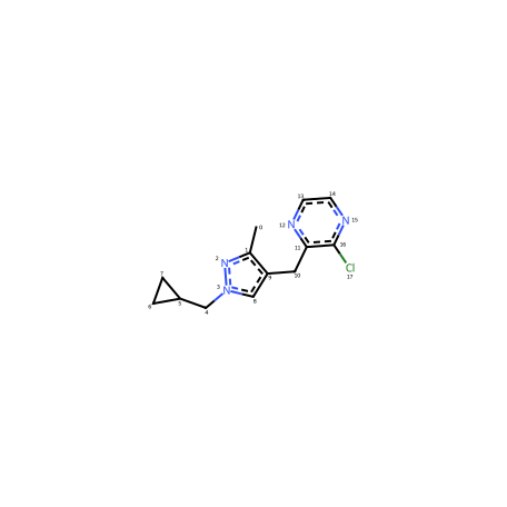 Cc1nn(CC2CC2)cc1Cc1nccnc1Cl